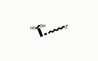 C=C.C=C.C=C.C=C.C=C.C=C.CCCCCCCCOC.OCCO